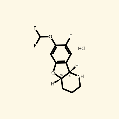 Cl.Fc1cc2c(cc1OC(F)F)O[C@H]1CCCN[C@@H]21